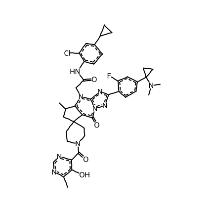 Cc1ncnc(C(=O)N2CCC3(CC2)CC(C)c2c3c(=O)n3nc(-c4ccc(C5(N(C)C)CC5)cc4F)nc3n2CC(=O)Nc2ccc(C3CC3)cc2Cl)c1O